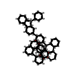 C1=CC(c2ccccc2N(c2ccc(-c3ccc4c5ccccc5n(-c5ccccc5)c4c3)cc2)c2ccccc2-c2cccc3cccc(-c4ccccc4)c23)=C2c3ccccc3OC2C1